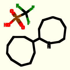 B1CCCCCCCC1C1CCCCCCCC1.O=S(=O)(O)C(F)(F)F